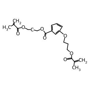 C=C(C)C(=O)OCCCOC(=O)c1cccc(OCCCOC(=O)C(=C)C)c1